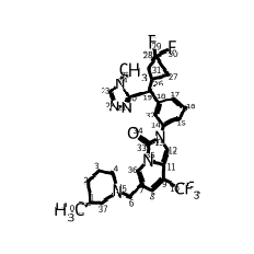 C[C@H]1CCCN(Cc2cc(C(F)(F)F)c3cn(-c4cccc(C(c5nncn5C)C5CC(F)(F)C5)c4)c(=O)n3c2)C1